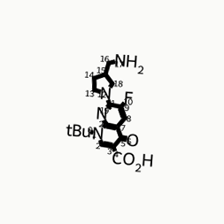 CC(C)(C)n1cc(C(=O)O)c(=O)c2cc(F)c(N3CCC(CN)C3)nc21